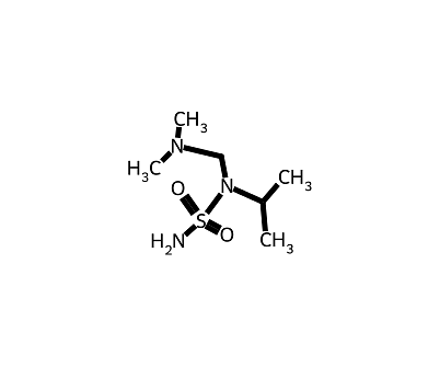 CC(C)N(CN(C)C)S(N)(=O)=O